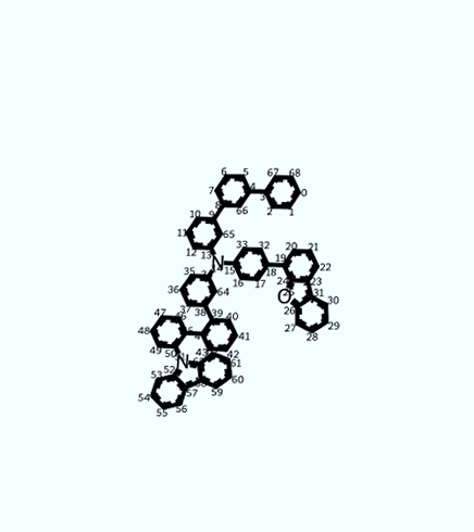 c1ccc(-c2cccc(-c3cccc(N(c4ccc(-c5cccc6c5oc5ccccc56)cc4)c4cccc(-c5ccccc5-c5ccccc5-n5c6ccccc6c6ccccc65)c4)c3)c2)cc1